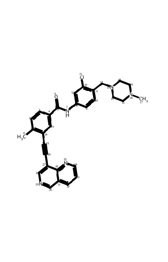 Cc1ccc(C(=O)Nc2ccc(CN3CCN(C)CC3)c(Cl)c2)cc1C#Cc1cncc2cccnc12